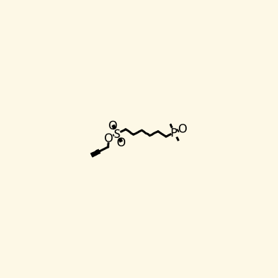 C#CCOS(=O)(=O)CCCCCCP(C)(C)=O